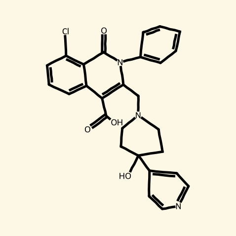 O=C(O)c1c(CN2CCC(O)(c3ccncc3)CC2)n(-c2ccccc2)c(=O)c2c(Cl)cccc12